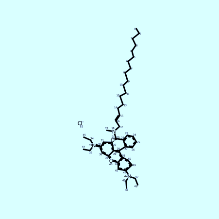 CCCCCCCCCCCCCCCC=CCN(C)C(=O)c1ccccc1-c1c2ccc(=[N+](CC)CC)cc-2oc2cc(N(CC)CC)ccc12.[Cl-]